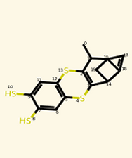 CC1C2=C(Sc3cc(S)c(S)cc3S2)C2CC13C=C23